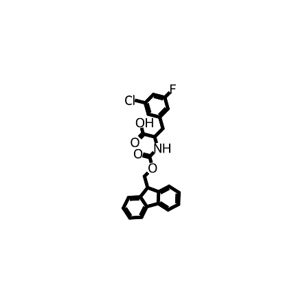 O=C(NC(Cc1cc(F)cc(Cl)c1)C(=O)O)OCC1c2ccccc2-c2ccccc21